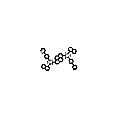 c1ccc(-c2ccc(-c3nc(-c4cccc5ccccc45)nc(-c4ccc5ccc6c(-c7nc(-c8ccc(-c9ccccn9)cc8)nc(-c8cccc9ccccc89)n7)ccc7ccc4c5c76)n3)nc2)cc1